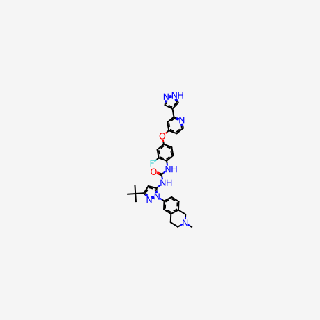 CN1CCc2cc(-n3nc(C(C)(C)C)cc3NC(=O)Nc3ccc(Oc4ccnc(-c5cn[nH]c5)c4)cc3F)ccc2C1